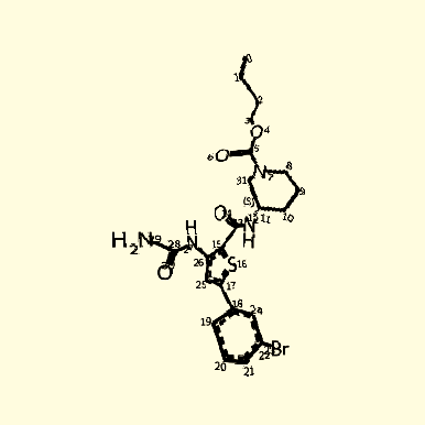 CCCCOC(=O)N1CCC[C@H](NC(=O)c2sc(-c3cccc(Br)c3)cc2NC(N)=O)C1